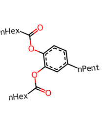 CCCCCCC(=O)Oc1ccc(CCCCC)cc1OC(=O)CCCCCC